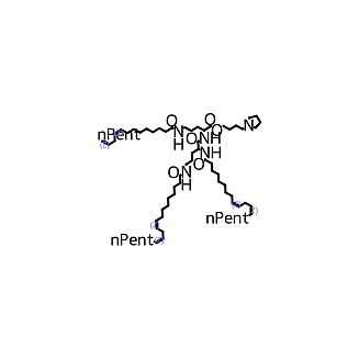 CCCCC/C=C\C/C=C\CCCCCCCC(=O)NCCCC(NC(=O)CCCCCCC/C=C\C/C=C\CCCCC)C(=O)NC(CCCNC(=O)CCCCCCC/C=C\C/C=C\CCCCC)C(=O)OCCCCN1CCCC1